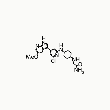 COc1cnc2[nH]cc(-c3cc(Cl)nc(N[C@H]4CC[C@H](NCC(N)=O)CC4)c3)c2c1